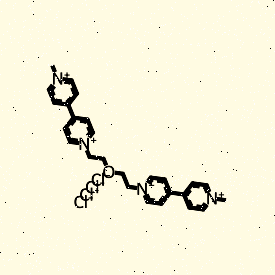 C[n+]1ccc(-c2cc[n+](CCOCC[n+]3ccc(-c4cc[n+](C)cc4)cc3)cc2)cc1.[Cl-].[Cl-].[Cl-].[Cl-]